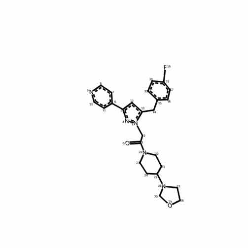 O=C(Cn1nc(-c2ccncc2)cc1Cc1ccc(F)cc1)N1CCC(N2CCOC2)CC1